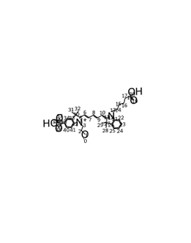 COCC[N+]1=C(/C=C/C=C/C=C2/N(CCCCCC(=O)O)c3ccccc3C2(C)C)C(C)(C)c2cc(S(=O)(=O)O)ccc21